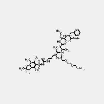 CNC(=O)[C@H](Cc1ccccc1)NC(=O)[C@H](COC(C)(C)C)NC(=O)[C@@H](C)C(C)NC(=O)[C@H](CCCNC(=N)NS(=O)(=O)c1c(C)c(C)c2c(c1C)CC(C)(C)O2)NC(=O)COCCOCCN